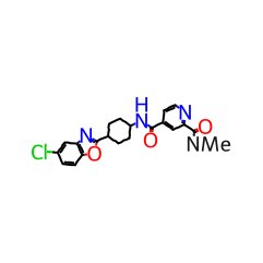 CNC(=O)c1cc(C(=O)NC2CCC(c3nc4cc(Cl)ccc4o3)CC2)ccn1